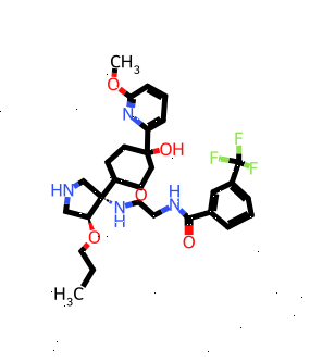 CCCO[C@H]1CNC[C@@]1(NC(=O)CNC(=O)c1cccc(C(F)(F)F)c1)C1CCC(O)(c2cccc(OC)n2)CC1